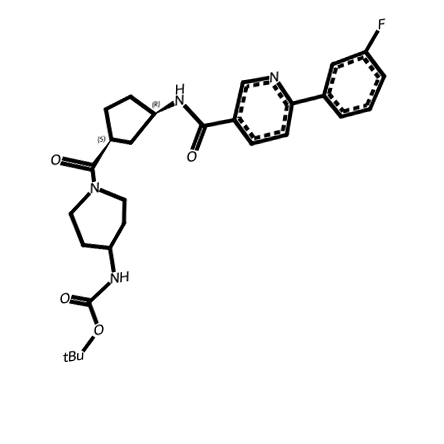 CC(C)(C)OC(=O)NC1CCN(C(=O)[C@H]2CC[C@@H](NC(=O)c3ccc(-c4cccc(F)c4)nc3)C2)CC1